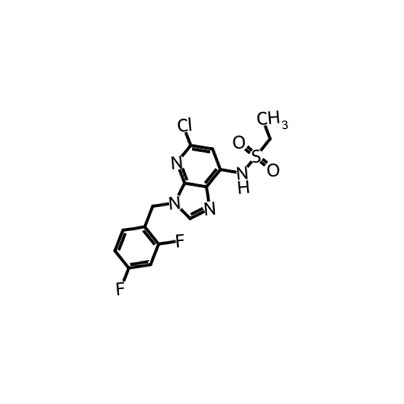 CCS(=O)(=O)Nc1cc(Cl)nc2c1ncn2Cc1ccc(F)cc1F